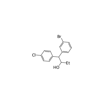 CCC(O)C(c1ccc(Cl)cc1)c1cccc(Br)c1